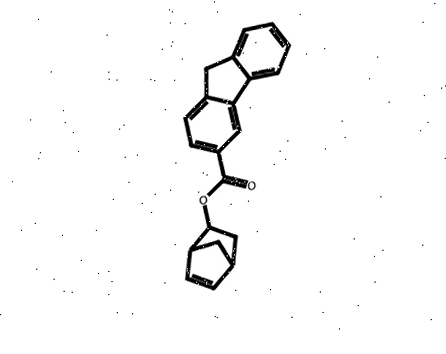 O=C(OC1CC2C=CC1C2)c1ccc2c(c1)-c1ccccc1C2